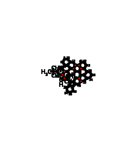 CC(C)(C)c1cc(-c2cccc3cccc(-c4ccccc4N(c4ccccc4-c4cccc5cccc(-c6ccccc6)c45)c4cccc5c4sc4ccccc45)c23)cc(C(C)(C)C)c1